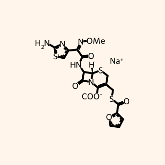 CO/N=C(\C(=O)NC1C(=O)N2C(C(=O)[O-])=C(CSC(=O)c3ccco3)CS[C@@H]12)c1csc(N)n1.[Na+]